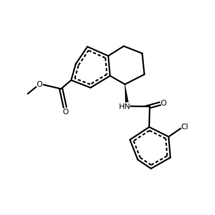 COC(=O)c1ccc2c(c1)[C@H](NC(=O)c1ccccc1Cl)CCC2